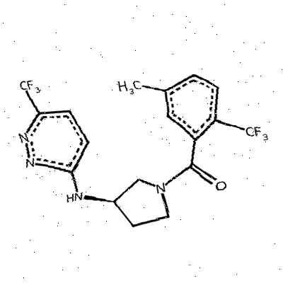 Cc1ccc(C(F)(F)F)c(C(=O)N2CC[C@@H](Nc3ccc(C(F)(F)F)nn3)C2)c1